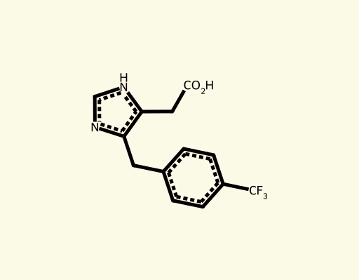 O=C(O)Cc1[nH]cnc1Cc1ccc(C(F)(F)F)cc1